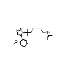 COc1ccccc1-c1cnnn1C(C)(C)COC(C)(C)CCNC(C)=O